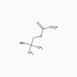 CCCCC(C)(C)COC(=O)C(=O)O